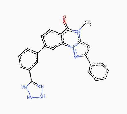 Cn1c(=O)c2ccc(-c3cccc(C4=NNNN4)c3)cc2n2nc(-c3ccccc3)cc12